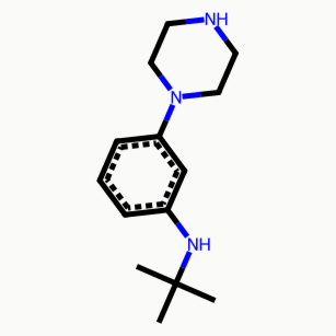 CC(C)(C)Nc1cccc(N2CCNCC2)c1